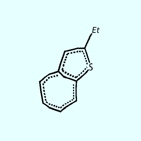 CCc1cc2ccccc2s1